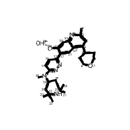 Cc1cc(C2CCOCC2)c2cc(-c3ccc(N(C)C4CC(C)(C)NC(C)(C)C4)nn3)c(OC=O)cc2n1